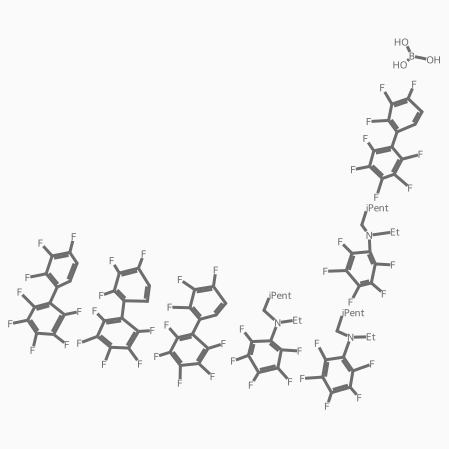 CCCC(C)CN(CC)c1c(F)c(F)c(F)c(F)c1F.CCCC(C)CN(CC)c1c(F)c(F)c(F)c(F)c1F.CCCC(C)CN(CC)c1c(F)c(F)c(F)c(F)c1F.Fc1ccc(-c2c(F)c(F)c(F)c(F)c2F)c(F)c1F.Fc1ccc(-c2c(F)c(F)c(F)c(F)c2F)c(F)c1F.Fc1ccc(-c2c(F)c(F)c(F)c(F)c2F)c(F)c1F.Fc1ccc(-c2c(F)c(F)c(F)c(F)c2F)c(F)c1F.OB(O)O